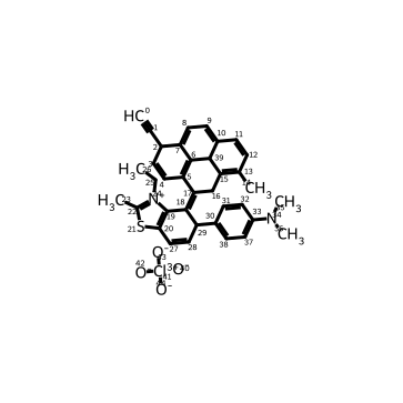 C#CC1C=CC2=C3C1=CC=C1C=CC(C)=C(CC2=C2c4c(sc(C)[n+]4CC)C=CC2c2ccc(N(C)C)cc2)C13.[O-][Cl+3]([O-])([O-])[O-]